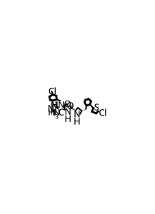 C[C@H](NC(=O)[C@H]1C[C@H](Cc2ccccc2-c2ccc(Cl)s2)CN1)C(=O)NCc1cc(Cl)ccc1-n1cnnn1